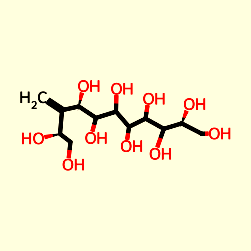 C=C([C@H](O)CO)[C@@H](O)C(O)C(O)C(O)C(O)C(O)[C@@H](O)CO